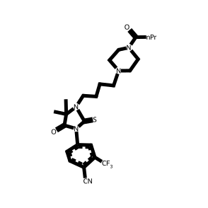 CCCC(=O)N1CCN(CCCCN2C(=S)N(c3ccc(C#N)c(C(F)(F)F)c3)C(=O)C2(C)C)CC1